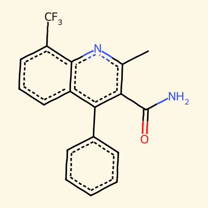 Cc1nc2c(C(F)(F)F)cccc2c(-c2ccccc2)c1C(N)=O